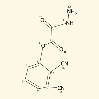 N#Cc1cccc(OC(=O)C(=O)NN)c1C#N